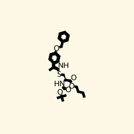 CCCCOC(=O)[C@H](CSc1[nH]c2cc(OCc3ccccc3)ccc2c1C)NC(=O)OC(C)(C)C